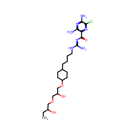 CCC(O)COCC(O)COC1CCC(CCCCN/C(N)=N/C(=O)c2nc(Cl)c(N)nc2N)CC1